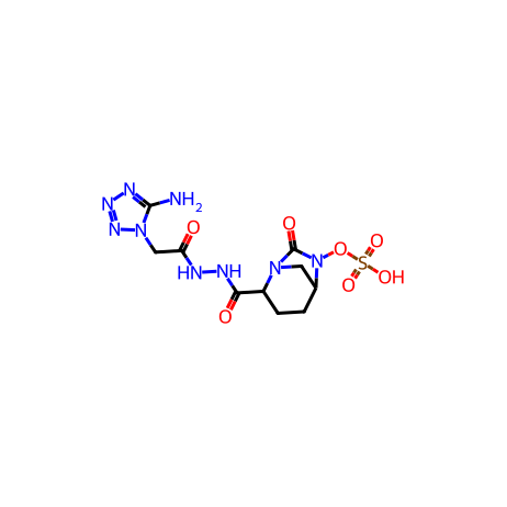 Nc1nnnn1CC(=O)NNC(=O)C1CCC2CN1C(=O)N2OS(=O)(=O)O